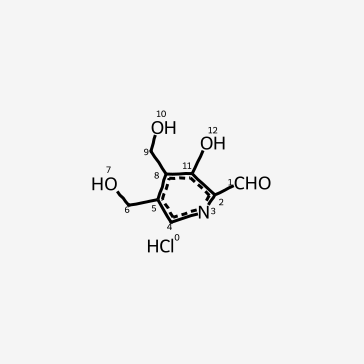 Cl.O=Cc1ncc(CO)c(CO)c1O